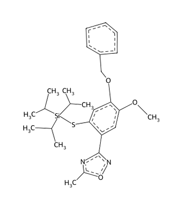 COc1cc(-c2noc(C)n2)c(S[Si](C(C)C)(C(C)C)C(C)C)cc1OCc1ccccc1